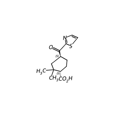 CC1(C)C[C@@H](C(=O)c2nccs2)CC[C@@H]1C(=O)O